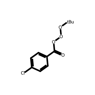 CC(C)(C)OOOC(=O)c1ccc(Cl)cc1